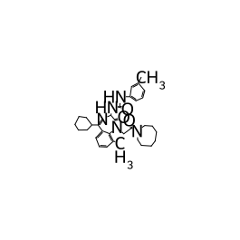 Cc1cccc(NC(=O)NC2N=C(C3CCCCC3)c3cccc(C)c3N(CC(=O)N3CCCCCCC3)C2=O)c1